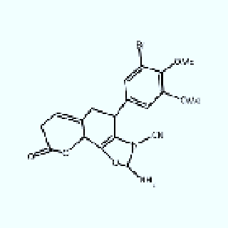 COc1cc(C2CC3=CCC(=O)OC3C3=C2N(C#N)C(N)O3)cc(Br)c1OC